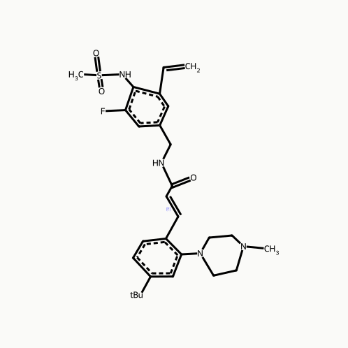 C=Cc1cc(CNC(=O)/C=C/c2ccc(C(C)(C)C)cc2N2CCN(C)CC2)cc(F)c1NS(C)(=O)=O